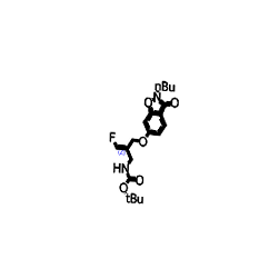 CCCCn1oc2cc(OC/C(=C\F)CNC(=O)OC(C)(C)C)ccc2c1=O